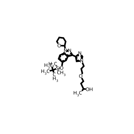 CC(O)CCOCCCn1cnc(-c2nn(C3CCCCO3)c3ccc(O[Si](C)(C)C(C)(C)C)cc23)c1